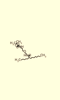 CCCCCCCCC(CCCCCC)C(=O)NCCOCCCNC(=O)OC(C)(C)C